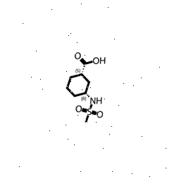 CS(=O)(=O)N[C@@H]1CCC[C@H](C(=O)O)C1